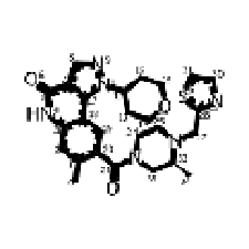 Cc1cc2[nH]c(=O)c3cnn(C4CCOCC4)c3c2cc1C(=O)N1CCN(Cc2nccs2)[C@@H](C)C1